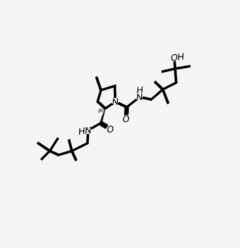 CC1C[C@H](C(=O)NCC(C)(C)CC(C)(C)C)N(C(=O)NCC(C)(C)CC(C)(C)O)C1